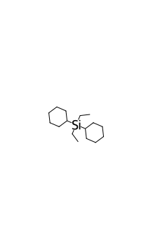 CC[Si](CC)(C1CCCCC1)C1CCCCC1